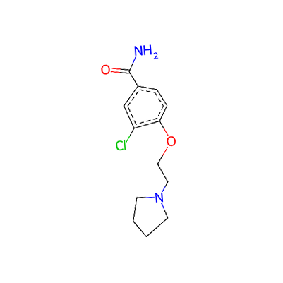 NC(=O)c1ccc(OCCN2CCCC2)c(Cl)c1